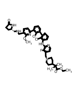 CCOC(=O)C(C)(C)C1CCN(Cc2ccnc(Nc3cccc(-c4cccc(-c5ccc(CNC[C@@H]6CCC(=O)N6)c(OC)n5)c4Cl)c3Cl)c2F)CC1